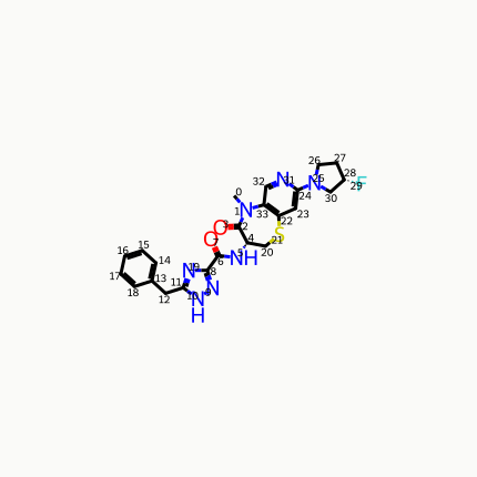 CN1C(=O)[C@@H](NC(=O)c2n[nH]c(Cc3ccccc3)n2)CSc2cc(N3CC[C@H](F)C3)ncc21